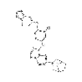 Clc1cc(Nc2ncnc3cnc(N4CC5CCC(C4)O5)nc23)ccc1Oc1ccn2ncnc2c1